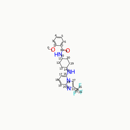 COc1ccccc1C(=O)NC1CCC(Nc2cccc3nc(C(F)(F)F)cn23)CC1